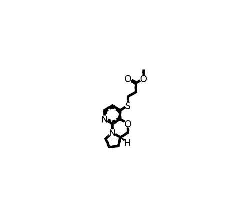 COC(=O)CCSc1ccnc2c1OC[C@@H]1CCCN21